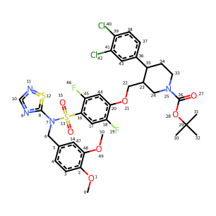 COc1ccc(CN(c2ncns2)S(=O)(=O)c2cc(F)c(OCC3CN(C(=O)OC(C)(C)C)CCC3c3ccc(Cl)c(Cl)c3)cc2F)cc1OC